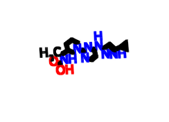 CC(NC(=O)O)C1CCCN(c2nccc(Nc3cc(C4CC4)[nH]n3)n2)C1